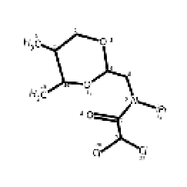 CC1COC(CN(C(=O)C(Cl)Cl)C(C)C)OC1C